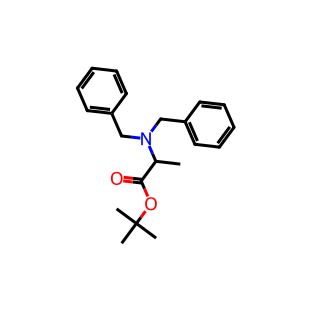 CC(C(=O)OC(C)(C)C)N(Cc1ccccc1)Cc1ccccc1